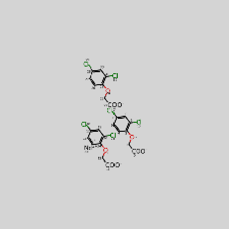 O=C([O-])COc1ccc(Cl)cc1Cl.O=C([O-])COc1ccc(Cl)cc1Cl.O=C([O-])COc1ccc(Cl)cc1Cl.[Nd+3]